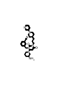 N#Cc1cccc(Cn2c(N3CCCC(N)C3)cc(=O)n(CCCC3CCN(c4cccnc4)CC3)c2=O)c1